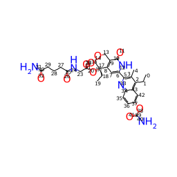 CCc1c(C)c(-c2cc3c(c(=O)[nH]2)COC(=O)[C@@]3(CC)OC(=O)CNC(=O)CCCC(N)=O)nc2ccc(OC(N)=O)cc12